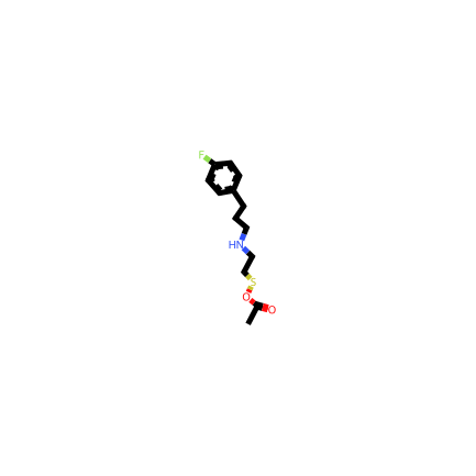 CC(=O)OSCCNCCCc1ccc(F)cc1